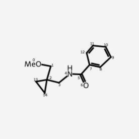 COCC1(CNC(=O)c2ccccc2)CC1